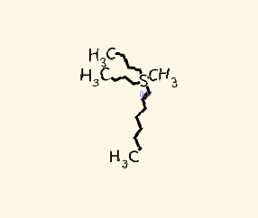 CCCCCC/C=C/S(C)(CCCC)CCCC